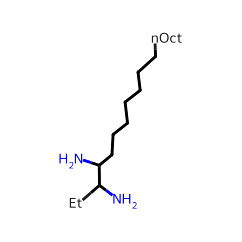 CCCCCCCCCCCCCCCC(N)C(N)CC